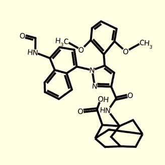 COc1cccc(OC)c1-c1cc(C(=O)NC23CC4CC(CC(C4)C2C(=O)O)C3)nn1-c1ccc(NC=O)c2ccccc12